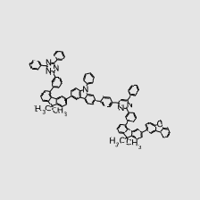 CC1(C)c2ccc(-c3ccc4oc5ccccc5c4c3)cc2-c2c(-c3cccc(-c4nc(-c5ccccc5)cc(-c5ccc(-c6ccc7c8cc(-c9ccc%10c(c9)-c9c(-c%11cccc(-c%12nc(-c%13ccccc%13)nc(-c%13ccccc%13)n%12)c%11)cccc9C%10(C)C)ccc8n(-c8ccccc8)c7c6)cc5)n4)c3)cccc21